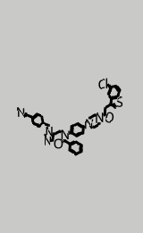 N#Cc1ccc(Cn2cncc2CN(C(=O)c2ccccc2)c2ccc(N3CCN(C(=O)Cc4csc5ccc(Cl)cc45)CC3)cc2)cc1